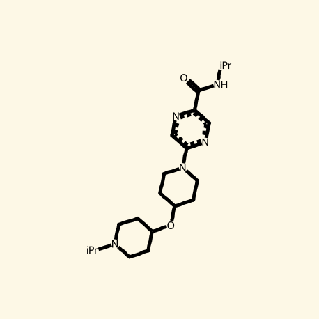 CC(C)NC(=O)c1cnc(N2CCC(OC3CCN(C(C)C)CC3)CC2)cn1